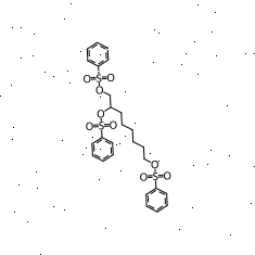 O=S(=O)(OCCCCCCC(COS(=O)(=O)c1ccccc1)OS(=O)(=O)c1ccccc1)c1ccccc1